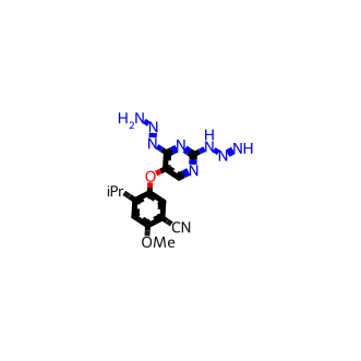 COc1cc(C(C)C)c(Oc2cnc(NN=N)nc2N=NN)cc1C#N